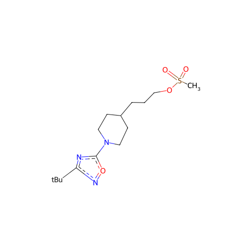 CC(C)(C)c1noc(N2CCC(CCCOS(C)(=O)=O)CC2)n1